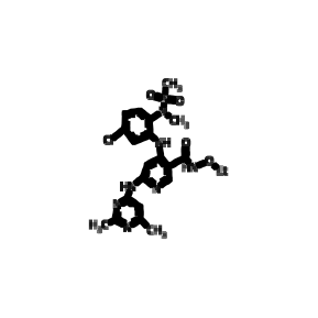 CCONC(=O)c1cnc(Nc2cc(C)nc(C)n2)cc1Nc1cc(Cl)ccc1N(C)S(C)(=O)=O